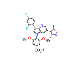 Cc1noc(C)c1-c1cnc2c(-c3ccc(F)cc3F)cn(-c3c(OC(C)C)cc(C(=O)O)cc3OC(C)C)c2c1